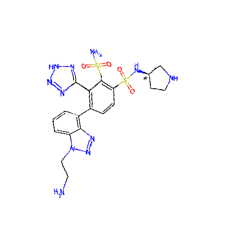 NCCn1nnc2c(-c3ccc(S(=O)(=O)N[C@@H]4CCNC4)c(S(N)(=O)=O)c3-c3nn[nH]n3)cccc21